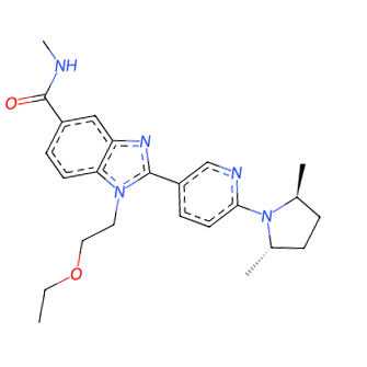 CCOCCn1c(-c2ccc(N3[C@@H](C)CC[C@@H]3C)nc2)nc2cc(C(=O)NC)ccc21